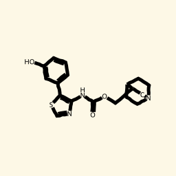 O=C(Nc1ncsc1-c1cccc(O)c1)OCC1CN2CCC1CC2